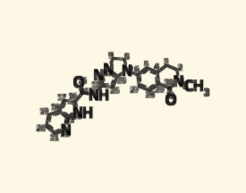 CN1CCc2cc(N3CCn4nc(NC(=O)c5cc6cccnc6[nH]5)cc43)ccc2C1=O